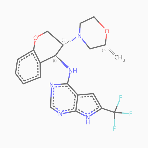 C[C@@H]1CN([C@H]2COc3ccccc3[C@@H]2Nc2ncnc3[nH]c(C(F)(F)F)cc23)CCO1